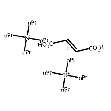 CCC[N+](CCC)(CCC)CCC.CCC[N+](CCC)(CCC)CCC.O=C(O)/C=C/C(=O)O